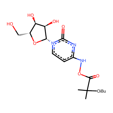 CC(C)COC(C)(C)C(=O)ONc1ccn([C@@H]2O[C@H](CO)[C@@H](O)[C@H]2O)c(=O)n1